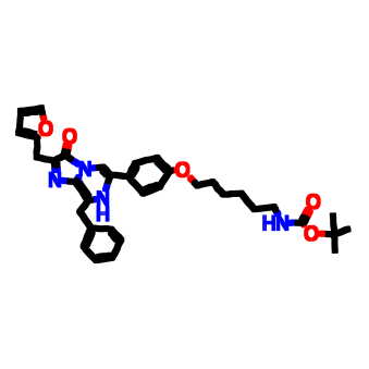 CC(C)(C)OC(=O)NCCCCCCOc1ccc(-c2cn3c(=O)c(Cc4ccco4)nc-3c(Cc3ccccc3)[nH]2)cc1